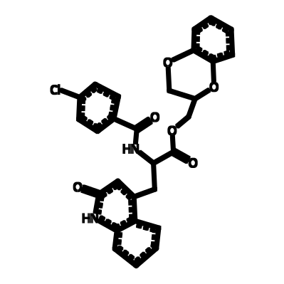 O=C(NC(Cc1cc(=O)[nH]c2ccccc12)C(=O)OCC1COc2ccccc2O1)c1ccc(Cl)cc1